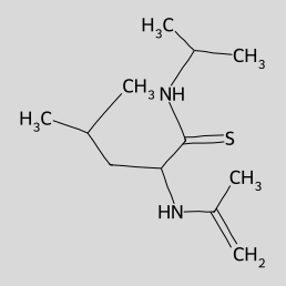 C=C(C)NC(CC(C)C)C(=S)NC(C)C